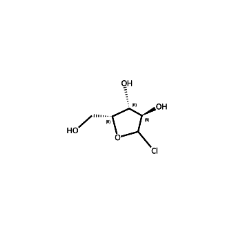 OC[C@H]1OC(Cl)[C@H](O)[C@H]1O